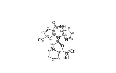 CCN(CC)CC1CCCCN1CC(=O)N1C2=C(C=CC(Cl)C2)C(=O)NC2=C1N=CCC2